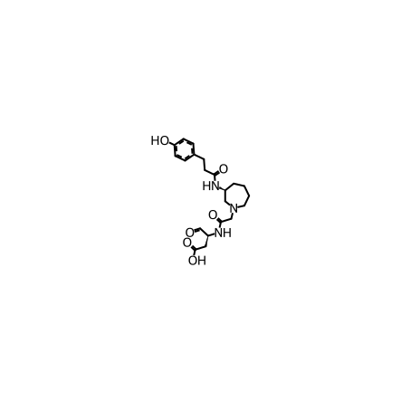 O=C[C@H](CC(=O)O)NC(=O)CN1CCCC[C@H](NC(=O)CCc2ccc(O)cc2)C1